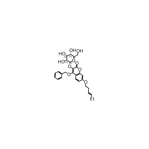 CCC=CCCOc1ccc2c(OCc3ccccc3)c(O[C@H]3O[C@H](CO)[C@@H](O)[C@H](O)[C@@H]3O)c(=O)oc2c1